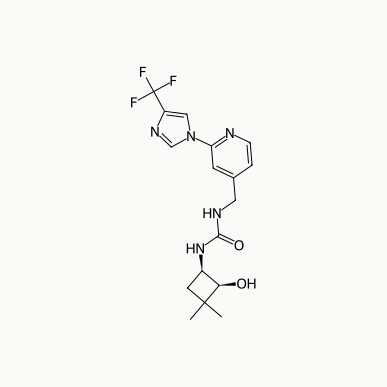 CC1(C)C[C@@H](NC(=O)NCc2ccnc(-n3cnc(C(F)(F)F)c3)c2)[C@H]1O